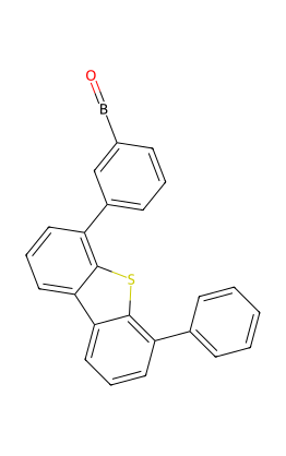 O=Bc1cccc(-c2cccc3c2sc2c(-c4ccccc4)cccc23)c1